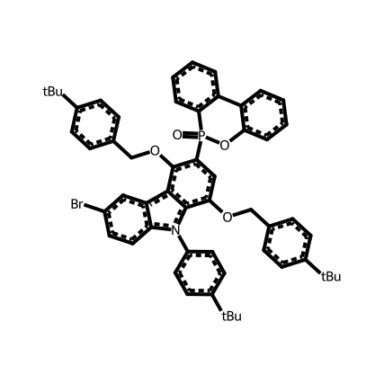 CC(C)(C)c1ccc(COc2c(P3(=O)Oc4ccccc4-c4ccccc43)cc(OCc3ccc(C(C)(C)C)cc3)c3c2c2cc(Br)ccc2n3-c2ccc(C(C)(C)C)cc2)cc1